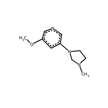 COc1cncc(N2CCN(C)C2)c1